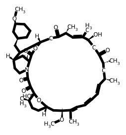 CO[C@H]1CCC[C@@H](CC2[C@H]3CCN4C(=O)C(=O)[C@]5(O)O[C@@H](CC[C@H]5C)C[C@H](OC)/C(C)=C/C=C/C=C/[C@@H](C)C[C@@H](C)C(=O)C[C@H](O)/C(C)=C/[C@@H](C)C(=O)C[C@@H]2OC(=O)[C@@H]4C3)C1